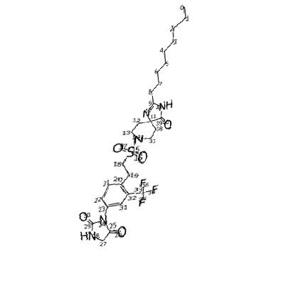 CCCCCCCCCC1=NC2(CCN(S(=O)(=O)CCc3ccc(N4C(=O)CNC4=O)cc3C(F)(F)F)CC2)C(=O)N1